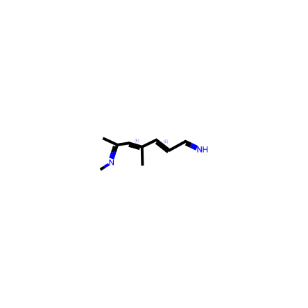 CN=C(C)/C=C(C)/C=C/C=N